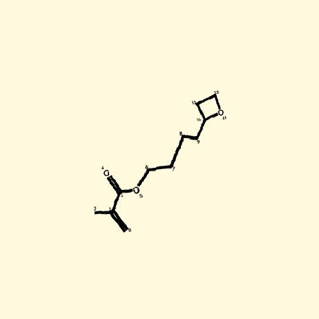 C=C(C)C(=O)OCCCCC1CCO1